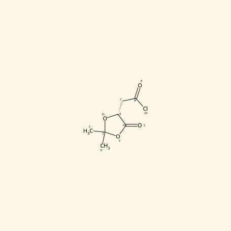 CC1(C)OC(=O)[C@@H](CC(=O)Cl)O1